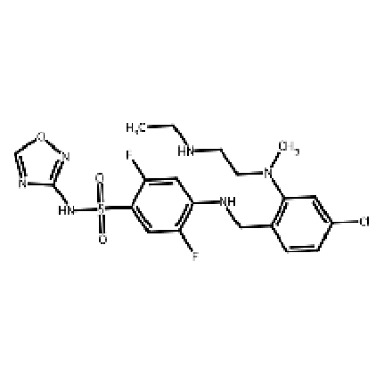 CCNCCN(C)c1cc(Cl)ccc1CNc1cc(F)c(S(=O)(=O)Nc2ncon2)cc1F